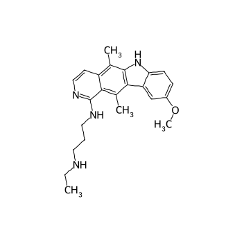 CCNCCCNc1nccc2c(C)c3[nH]c4ccc(OC)cc4c3c(C)c12